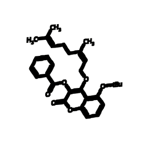 CC(C)=CCCC(C)=CCOc1c(OC(=O)c2ccccc2)c(=O)oc2cccc(OC(C)(C)C)c12